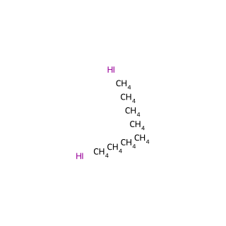 C.C.C.C.C.C.C.C.I.I